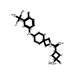 Cc1ccc(OC2CCC3(CC2)CN(C(=O)C2CC(C)(O)C2)C3)cc1C(F)(F)F